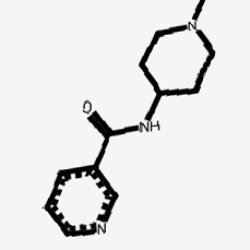 CN1CCC(NC(=O)c2c[c]cnc2)CC1